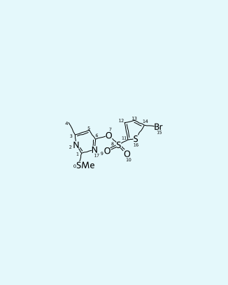 CSc1nc(C)cc(OS(=O)(=O)c2ccc(Br)s2)n1